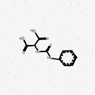 O=C(O)C(NC(=S)Nc1ccccc1)C(=O)O